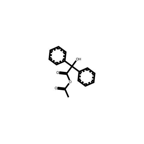 CC(=O)OC(=O)C(O)(c1ccccc1)c1ccccc1